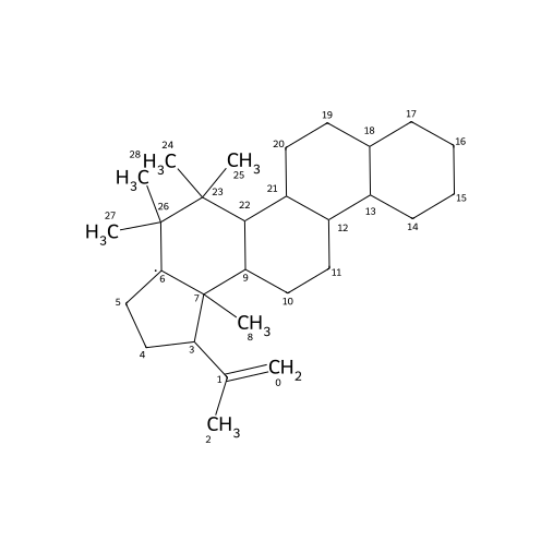 C=C(C)C1CC[C]2C1(C)C1CCC3C4CCCCC4CCC3C1C(C)(C)C2(C)C